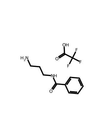 NCCCNC(=O)c1ccccc1.O=C(O)C(F)(F)F